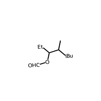 CCC(C)C(C)C(CC)OC=O